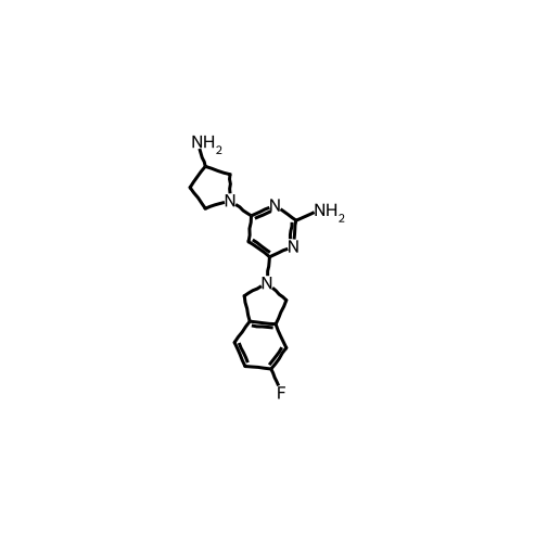 Nc1nc(N2Cc3ccc(F)cc3C2)cc(N2CCC(N)C2)n1